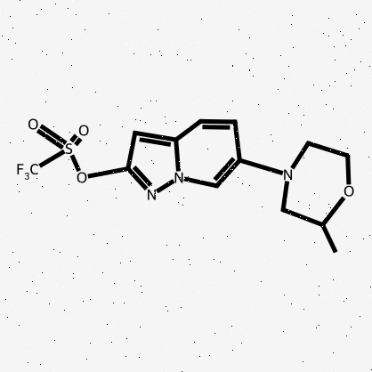 CC1CN(c2ccc3cc(OS(=O)(=O)C(F)(F)F)nn3c2)CCO1